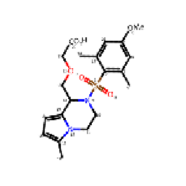 COc1cc(C)c(S(=O)(=O)N2CCn3c(C)ccc3C2COCC(=O)O)c(C)c1